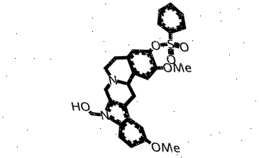 COc1ccc2c(c1)c1c(n2CO)CN2CCc3cc(OS(=O)(=O)c4ccccc4)c(OC)cc3C2C1